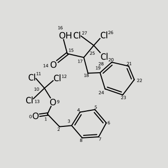 O=C(Cc1ccccc1)OC(Cl)(Cl)Cl.O=C(O)C(Cc1ccccc1)C(Cl)(Cl)Cl